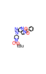 CC(C)(C)OC(=O)N1CCC(n2cnc3cnc4c(ccn4S(=O)(=O)c4ccccc4)c32)CC1